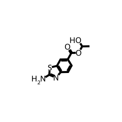 CC(O)OC(=O)c1ccc2nc(N)sc2c1